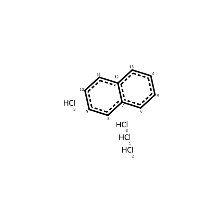 Cl.Cl.Cl.Cl.c1ccc2ccccc2c1